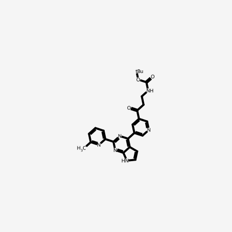 Cc1cccc(-c2nc(-c3cncc(C(=O)CCNC(=O)OC(C)(C)C)c3)c3cc[nH]c3n2)n1